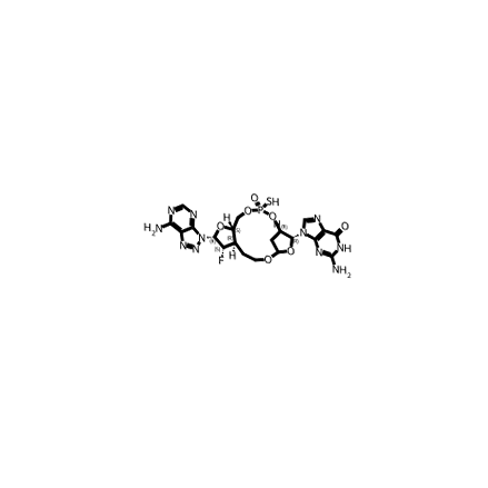 Nc1nc2c(ncn2[C@@H]2OC3C[C@H]2OP(=O)(S)OC[C@H]2O[C@@H](n4nnc5c(N)ncnc54)[C@@H](F)[C@@H]2CCO3)c(=O)[nH]1